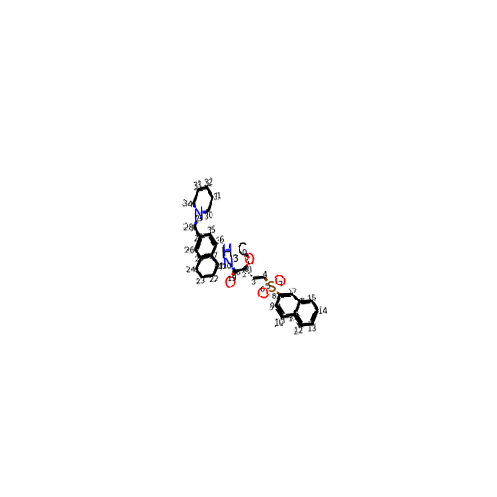 CO[C@H](CCS(=O)(=O)c1ccc2ccccc2c1)C(=O)N[C@@H]1CCCc2cc(CN3CCCCC3)ccc21